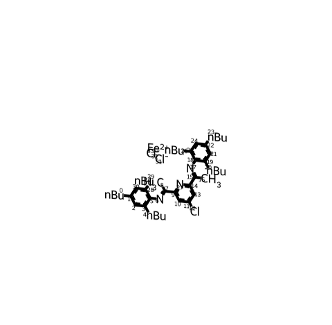 CCCCc1cc(CCCC)c(N=C(C)c2cc(Cl)cc(C(C)=Nc3c(CCCC)cc(CCCC)cc3CCCC)n2)c(CCCC)c1.[Cl-].[Cl-].[Fe+2]